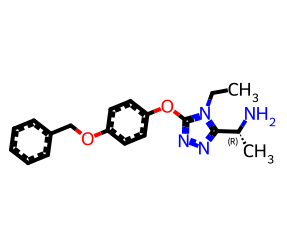 CCn1c(Oc2ccc(OCc3ccccc3)cc2)nnc1[C@@H](C)N